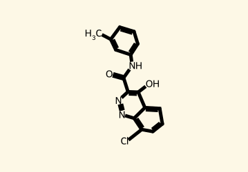 Cc1cccc(NC(=O)c2nnc3c(Cl)cccc3c2O)c1